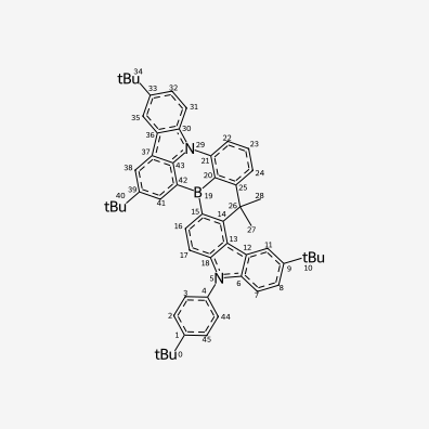 CC(C)(C)c1ccc(-n2c3ccc(C(C)(C)C)cc3c3c4c(ccc32)B2c3c(cccc3C4(C)C)-n3c4ccc(C(C)(C)C)cc4c4cc(C(C)(C)C)cc2c43)cc1